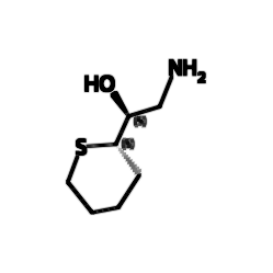 NC[C@H](O)[C@@H]1CCCCS1